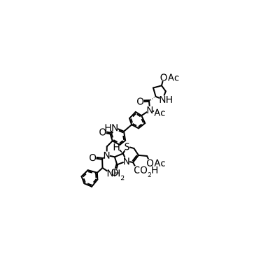 CC(=O)OCC1=C(C(=O)O)N2C(=O)C(N(Cc3ccc(-c4ccc(N(C(C)=O)C(=O)[C@@H]5CC(OC(C)=O)CN5)cc4)[nH]c3=O)C(=O)C(N)c3ccccc3)[C@@H]2SC1